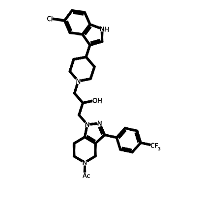 CC(=O)N1CCc2c(c(-c3ccc(C(F)(F)F)cc3)nn2CC(O)CN2CCC(c3c[nH]c4ccc(Cl)cc34)CC2)C1